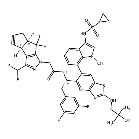 Cn1nc(NS(=O)(=O)C2CC2)c2cccc(-c3cc4sc(NCC(C)(C)O)nc4nc3[C@H](Cc3cc(F)cc(F)c3)NC(=O)Cn3nc(C(F)F)c4c3C(F)(F)[C@@H]3CC#C[C@H]43)c21